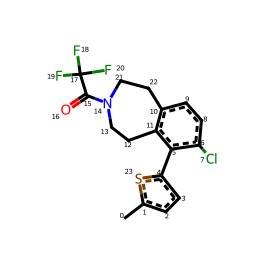 Cc1ccc(-c2c(Cl)ccc3c2CCN(C(=O)C(F)(F)F)CC3)s1